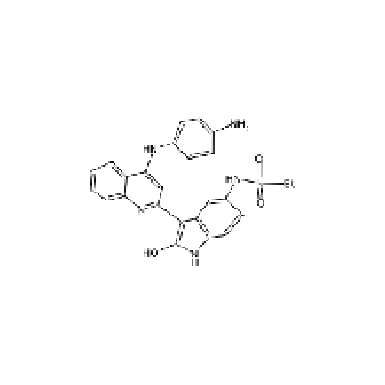 CCS(=O)(=O)Nc1ccc2[nH]c(O)c(-c3cc(Nc4ccc(N)cc4)c4ccccc4n3)c2c1